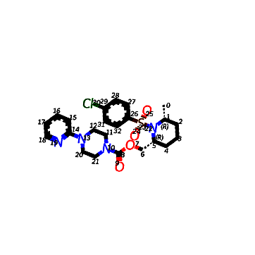 C[C@@H]1CCC[C@H](COC(=O)N2CCN(c3ccccn3)CC2)N1S(=O)(=O)c1ccc(Cl)cc1